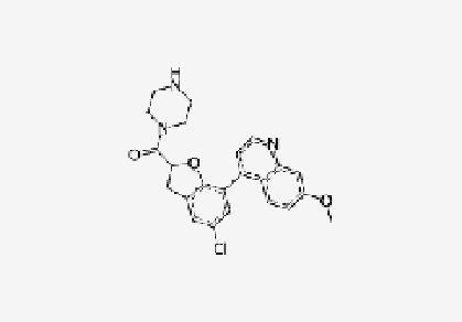 COc1ccc2c(-c3cc(Cl)cc4c3OC(C(=O)N3CCNCC3)C4)ccnc2c1